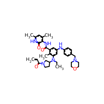 C=CC(=O)N1CCC(N(CC)c2cc(Nc3ccc(CN4CCOCC4)cc3)cc(C(=O)Nc3c(C)cc(C)[nH]c3=O)c2C)C1